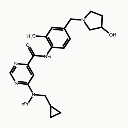 CCCN(CC1CC1)c1cc(C(=O)Nc2ccc(CN3CCC(O)C3)cc2C)ncn1